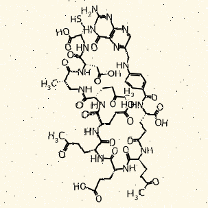 CC(=O)CC[C@H](NC(=O)CC[C@H](NC(=O)c1ccc(NCc2cnc3nc(N)[nH]c(=O)c3n2)cc1)C(=O)O)C(=O)N[C@@H](CCC(=O)O)C(=O)N[C@@H](CCC(C)=O)C(=O)NC(CCC(=O)O)C(=O)N[C@@H](CCC(C)=O)C(=O)NC[C@H](C)C(=O)N[C@@H](CC(=O)O)C(=O)N[C@@H](CS)C(=O)O